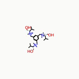 CC(C)[C@@H](CO)[N+](C)(C)Cc1cc(C[N+](C)(C)[C@H](CO)C(C)C)cc(C[N+](C)(C)[C@H](CO)C(C)C)c1